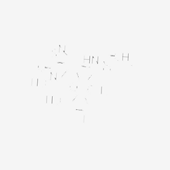 C=CC(=O)Nc1ccc(Oc2c(C)cc(F)cc2C)c(-c2cn(C)c(=O)c3sncc23)c1